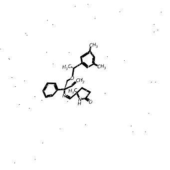 C=C[C@](CO[C@H](C)c1cc(C)cc(C)c1)(/N=C\[C@]1(C)CCC(=O)N1)c1ccccc1